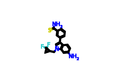 NC(=S)c1cccc(-c2cn(CC3CC3(F)F)c3cc(N)ccc23)c1